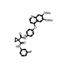 COc1cc2nccc(Oc3ccc(NC(=O)C4(C(=O)Nc5cccc(F)c5)CC4)cc3)c2cc1OC